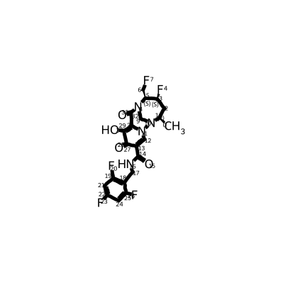 C[C@@H]1C[C@H](F)[C@H](CF)N2CN1n1cc(C(=O)NCc3c(F)cc(F)cc3F)c(=O)c(O)c1C2=O